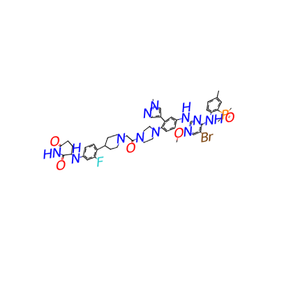 COc1cc(N2CCN(C(=O)CN3CCC(c4ccc(NC5CCC(=O)NC5=O)cc4F)CC3)CC2)c(-c2cnn(C)c2)cc1Nc1ncc(Br)c(Nc2ccc(C)cc2P(C)(C)=O)n1